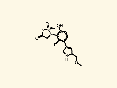 COCC1C=C(c2ccc(O)c(N3CC(=O)NS3(=O)=O)c2F)CN1